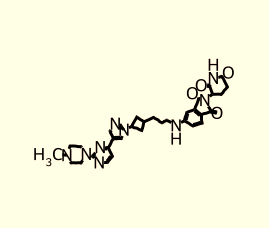 CN1CCN(c2nccc(-c3cnn(C4CC(CCCNc5ccc6c(c5)C(=O)N(C5CCC(=O)NC5=O)C6=O)C4)c3)n2)CC1